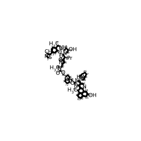 Cc1ncsc1-c1ccc([C@H](C)NC(=O)[C@@H]2C[C@@H](O)CN2C(=O)[C@H](c2cc(CN(C)C(=O)OC[C@@H]3CC[C@]4(COc5nc(N6CC7CCC(C6)N7)c6cnc7c(c6n5)C(C)c5cccc6cc(O)cc-7c56)CCCN34)no2)C(C)C)cc1